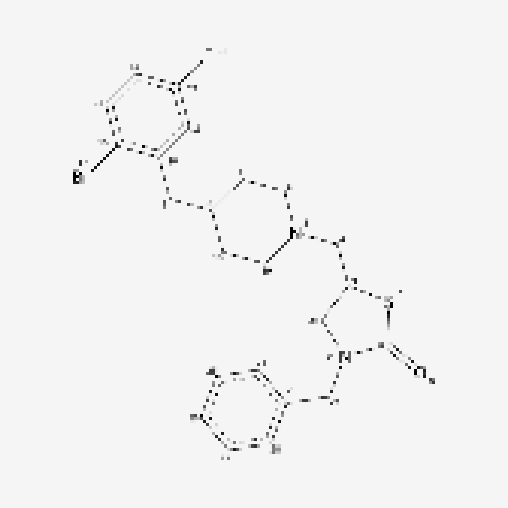 O=C1SC(CN2CCC(Cc3cc(F)ccc3Br)CC2)CN1Cc1ccccc1